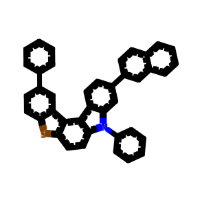 c1ccc(-c2ccc3sc4ccc5c(c6ccc(-c7ccc8ccccc8c7)cc6n5-c5ccccc5)c4c3c2)cc1